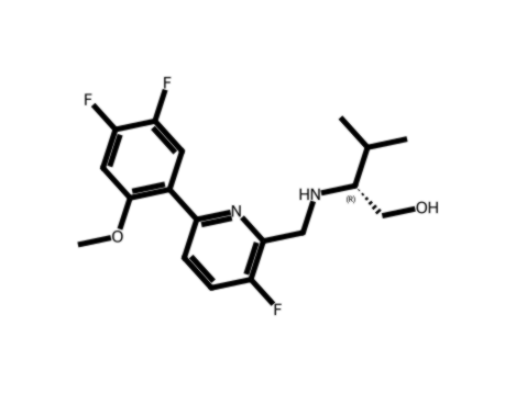 COc1cc(F)c(F)cc1-c1ccc(F)c(CN[C@@H](CO)C(C)C)n1